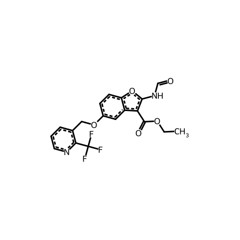 CCOC(=O)c1c(NC=O)oc2ccc(OCc3cccnc3C(F)(F)F)cc12